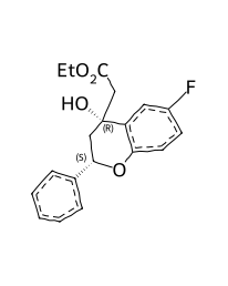 CCOC(=O)C[C@]1(O)C[C@@H](c2ccccc2)Oc2ccc(F)cc21